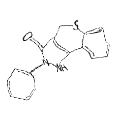 O=c1c2c([nH]n1-c1ccccc1)-c1ccccc1SC2